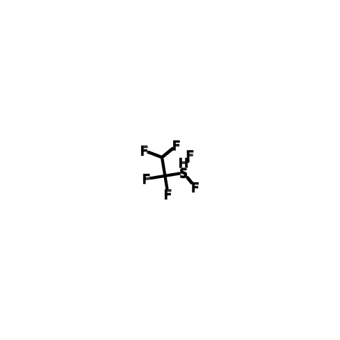 FC(F)C(F)(F)[SH](F)F